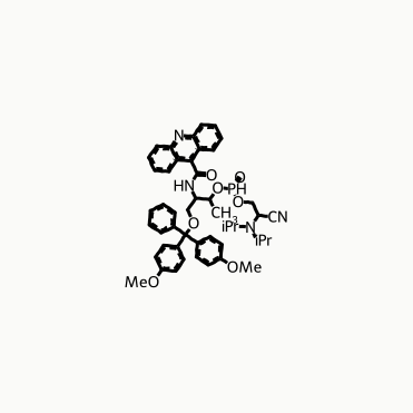 COc1ccc(C(OCC(NC(=O)c2c3ccccc3nc3ccccc23)C(C)O[PH](=O)OCC(C#N)N(C(C)C)C(C)C)(c2ccccc2)c2ccc(OC)cc2)cc1